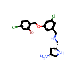 N[C@@H]1CN[C@@H](CNCc2cc(Cl)cc(OCc3ccc(Cl)cc3Br)c2)C1